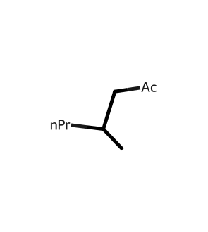 [CH2]CCC(C)CC(C)=O